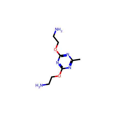 Cc1nc(OCCN)nc(OCCN)n1